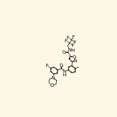 Cc1ccc(NC(=O)c2cc(F)cc(N3CCOCC3)c2)cc1-c1cc(C(=O)NCC(F)(F)C(F)(F)F)on1